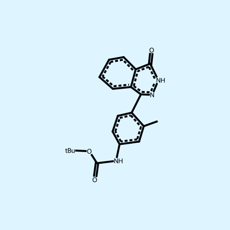 Cc1cc(NC(=O)OC(C)(C)C)ccc1-c1n[nH]c(=O)c2ccccc12